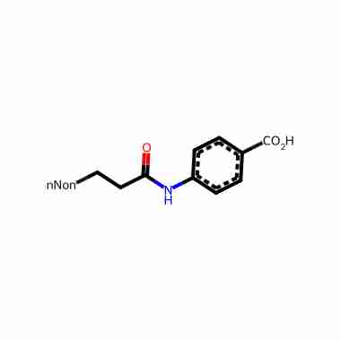 CCCCCCCCCCCC(=O)Nc1ccc(C(=O)O)cc1